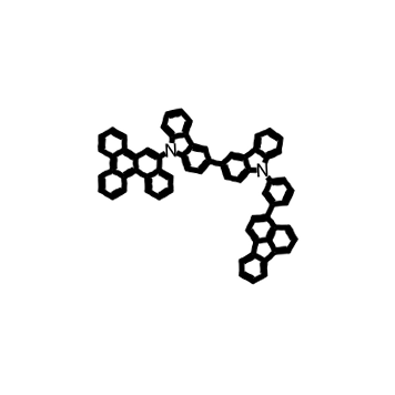 c1cc(-c2ccc3c4c(cccc24)-c2ccccc2-3)cc(-n2c3ccccc3c3cc(-c4ccc5c(c4)c4ccccc4n5-c4cc5c6ccccc6c6ccccc6c5c5ccccc45)ccc32)c1